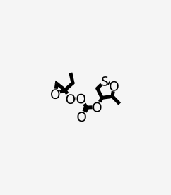 CCC1(OOC(=O)OC2CSOC2C)CO1